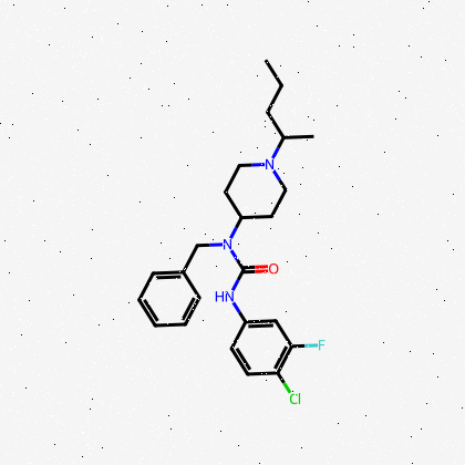 CCCC(C)N1CCC(N(Cc2ccccc2)C(=O)Nc2ccc(Cl)c(F)c2)CC1